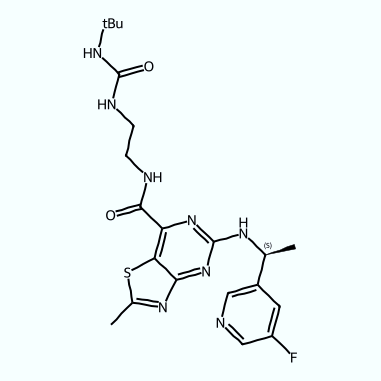 Cc1nc2nc(N[C@@H](C)c3cncc(F)c3)nc(C(=O)NCCNC(=O)NC(C)(C)C)c2s1